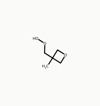 CC1(COO)COC1